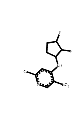 O=[N+]([O-])c1cnc(Cl)cc1NC1CCC(F)C1F